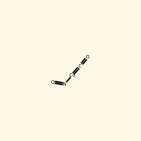 O=[C]=[Co][N]=O